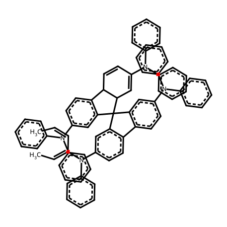 C/C=C\C(=C/C)N(c1ccccc1)c1ccc2c(c1)C1(c3cc(N(c4ccccc4)c4ccccc4)ccc3-2)c2cc(N(c3ccccc3)c3ccccc3)ccc2C2C=CC(N(c3ccccc3)c3ccccc3)=CC21